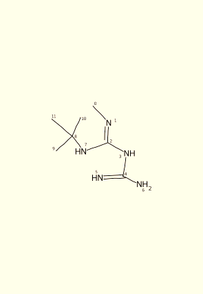 C/N=C(/NC(=N)N)NC(C)(C)C